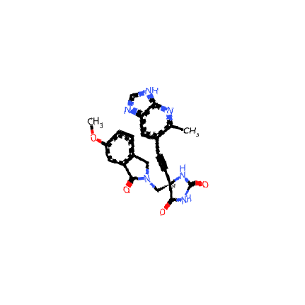 COc1ccc2c(c1)C(=O)N(C[C@@]1(C#Cc3cc4nc[nH]c4nc3C)NC(=O)NC1=O)C2